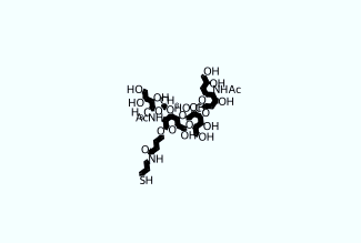 CC(=O)NC1C(OC(C)OC(C)[C@@H](O)C(O)CO)[C@H](O[C@@H]2OC(CO)[C@H](O)C(O[C@]3(C(=O)O)CC(O)[C@@H](NC(C)=O)C(C[C@H](O)CO)O3)C2O)C(CO)O[C@H]1OCCCC(=O)NCCCS